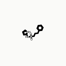 O=S(=O)(CCCc1ccccc1)Nc1ccc[nH]1